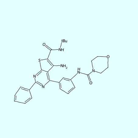 CC(C)(C)NC(=O)c1sc2nc(-c3ccccc3)nc(-c3cccc(NC(=O)N4CCOCC4)c3)c2c1N